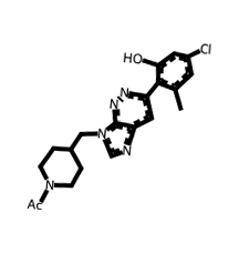 CC(=O)N1CCC(Cn2cnc3cc(-c4c(C)cc(Cl)cc4O)nnc32)CC1